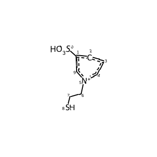 O=S(=O)(O)c1ccc[n+](CCS)c1